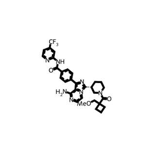 COCC1(C(=O)N2CCC[C@@H](c3nc(-c4ccc(C(=O)Nc5cc(C(F)(F)F)ccn5)cc4)c4c(N)nccn34)C2)CCC1